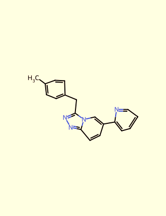 Cc1ccc(Cc2nnc3ccc(-c4ccccn4)cn23)cc1